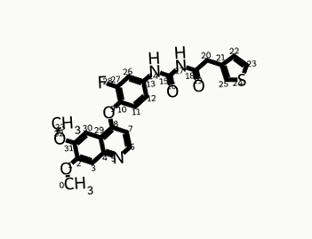 COc1cc2nccc(Oc3ccc(NC(=O)NC(=O)Cc4ccsc4)cc3F)c2cc1OC